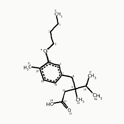 CCCCOc1cc(CC(C)(CC(=O)O)C(C)C)ccc1C